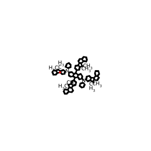 CC1(C)c2ccccc2-c2ccc(N(c3ccccc3)c3ccc4c(-c5ccc6c(c5)C(C)(C)c5c-6ccc6ccccc56)c5cc(N(c6ccccc6)c6ccc7c(c6)C(C)(C)c6ccc8ccccc8c6-7)ccc5c(-c5ccc6c(c5)C(C)(C)c5c-6ccc6ccccc56)c4c3)cc21